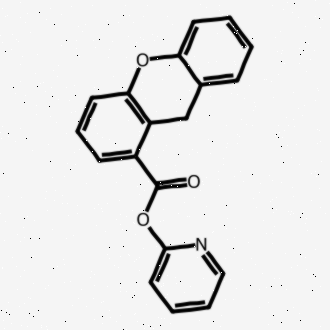 O=C(Oc1ccccn1)c1cccc2c1Cc1ccccc1O2